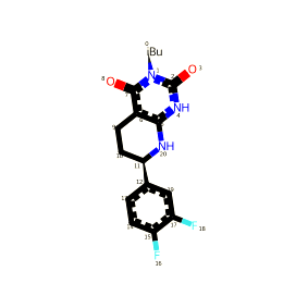 CC[C@H](C)n1c(=O)[nH]c2c(c1=O)CC[C@H](c1ccc(F)c(F)c1)N2